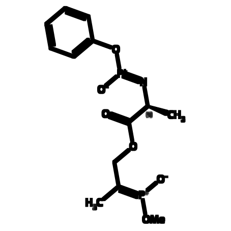 CO[P+]([O-])=C(C)COC(=O)[C@H](C)N=[P+]([O-])Oc1ccccc1